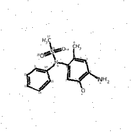 Cc1cc(N)c(Cl)cc1N(c1ccccc1)S(C)(=O)=O